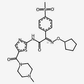 CN1CCN(C(=O)c2cnc(NC(=O)/C(=N/OC3CCCC3)c3ccc(S(C)(=O)=O)cc3)s2)CC1